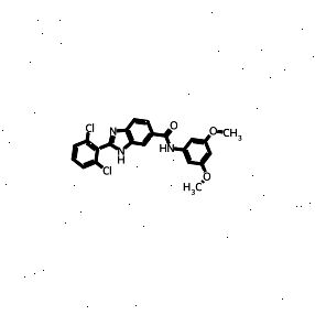 COc1cc(NC(=O)c2ccc3nc(-c4c(Cl)cccc4Cl)[nH]c3c2)cc(OC)c1